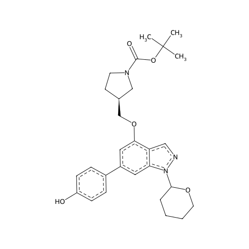 CC(C)(C)OC(=O)N1CC[C@H](COc2cc(-c3ccc(O)cc3)cc3c2cnn3C2CCCCO2)C1